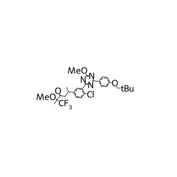 COc1nc(-c2ccc(OCC(C)(C)C)cc2)nc(-c2cc(C(C)CC(=O)C(C)(OC)C(F)(F)F)ccc2Cl)n1